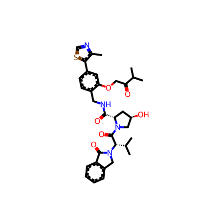 Cc1ncsc1-c1ccc(CNC(=O)[C@@H]2C[C@@H](O)CN2C(=O)[C@H](C(C)C)N2Cc3ccccc3C2=O)c(OCC(=O)C(C)C)c1